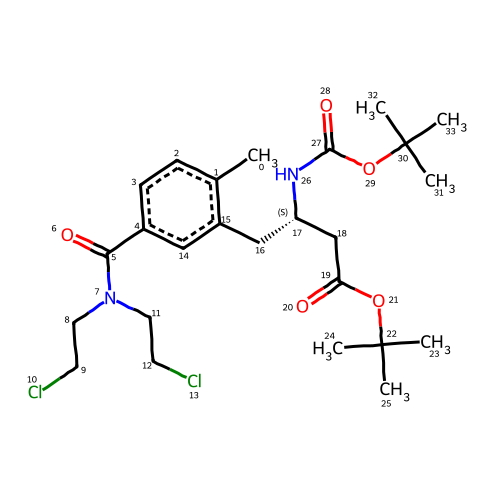 Cc1ccc(C(=O)N(CCCl)CCCl)cc1C[C@@H](CC(=O)OC(C)(C)C)NC(=O)OC(C)(C)C